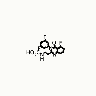 O=C(O)NCCc1nc2cccc(F)c2c(=O)n1-c1cc(F)cc(F)c1